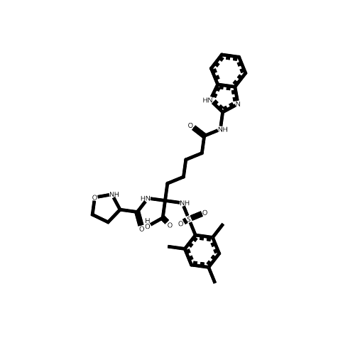 Cc1cc(C)c(S(=O)(=O)NC(CCCCC(=O)Nc2nc3ccccc3[nH]2)(NC(=O)C2CCON2)C(=O)O)c(C)c1